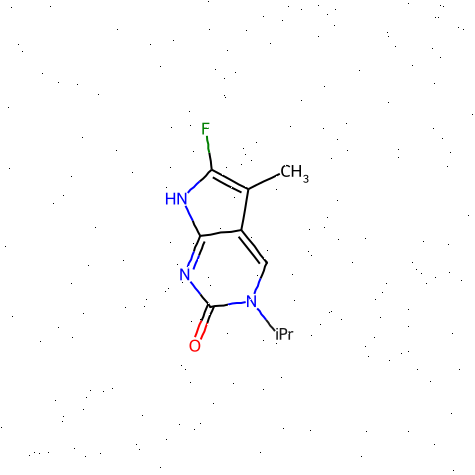 Cc1c(F)[nH]c2nc(=O)n(C(C)C)cc12